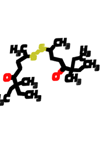 CCC(C)(CC)C(=O)CCC(C)SSC(C)CCC(=O)C(C)(CC)CC